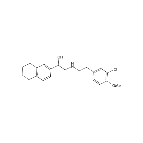 COc1ccc(CCNCC(O)c2ccc3c(c2)CCCC3)cc1Cl